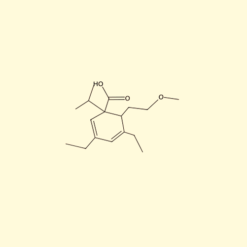 CCC1=CC(C(=O)O)(C(C)C)C(CCOC)C(CC)=C1